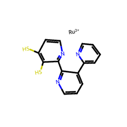 Sc1ccnc(-c2ncccc2-c2ccccn2)c1S.[Ru+2]